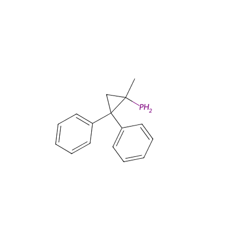 CC1(P)CC1(c1ccccc1)c1ccccc1